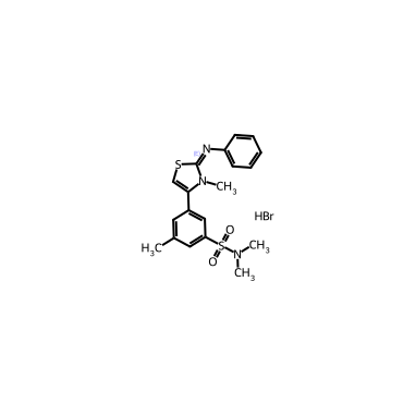 Br.Cc1cc(-c2cs/c(=N/c3ccccc3)n2C)cc(S(=O)(=O)N(C)C)c1